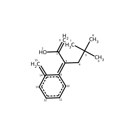 C=C(O)/C(CC(C)(C)C)=c1/ccccc1=C